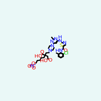 Cc1nc(Nc2ncc(C(=O)Nc3c(C)cccc3Cl)s2)cc(N2CCN(CCC(CCCCCO[N+](=O)[O-])(CC(=O)O)C(=O)O)CC2)n1